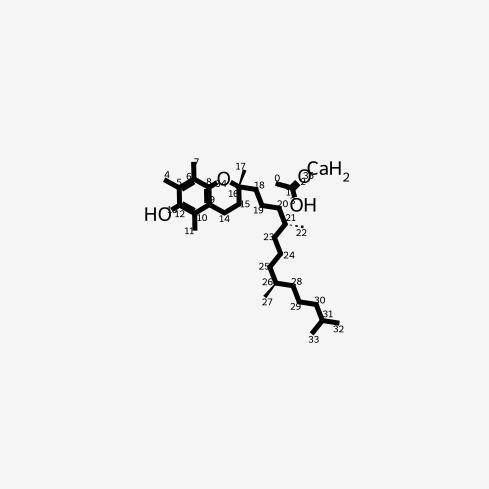 CC(=O)O.Cc1c(C)c2c(c(C)c1O)CC[C@@](C)(CCC[C@H](C)CCC[C@H](C)CCCC(C)C)O2.[CaH2]